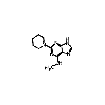 CBc1nc(N2CCCCC2)nc2[nH]cnc12